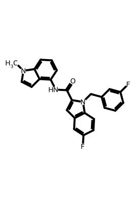 Cn1ccc2c(NC(=O)c3cc4cc(F)ccc4n3Cc3cccc(F)c3)cccc21